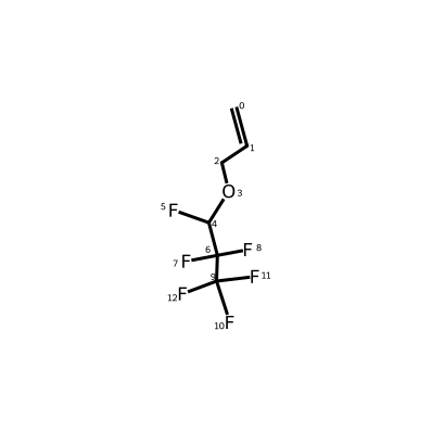 C=CCOC(F)C(F)(F)C(F)(F)F